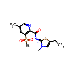 CCS(=O)(=O)c1cc(C(F)(F)F)cnc1C(=O)/N=c1\sc(CC(F)(F)F)cn1C